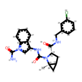 NC(=O)n1cc(NC(=O)N2[C@@H]3CC3C[C@H]2C(=O)NCc2cccc(Cl)c2)c2ccccc21